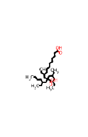 CCCCC(CC)CC(CC(CC)CCCC)(CC(CC)CCCCCCCCC(=O)O)C(=O)O